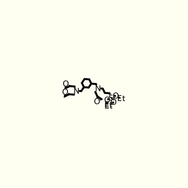 CCO[Si](CCCN(CC1CCCC(CN(CC2CO2)CC2CO2)C1)CC1CO1)(OCC)OCC